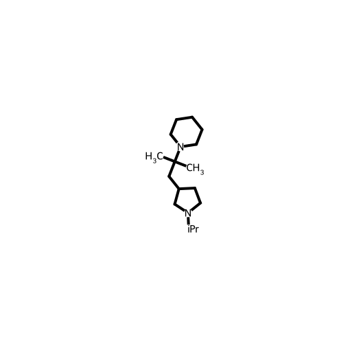 CC(C)N1CCC(CC(C)(C)N2CCCCC2)C1